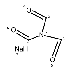 O=CN(C=O)C=O.[NaH]